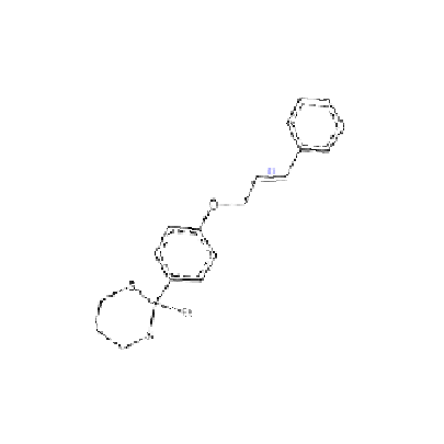 CCC1(c2ccc(OC/C=C/c3ccccc3)cc2)SCCCS1